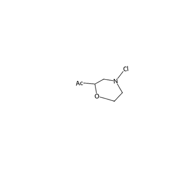 CC(=O)C1CN(Cl)CCO1